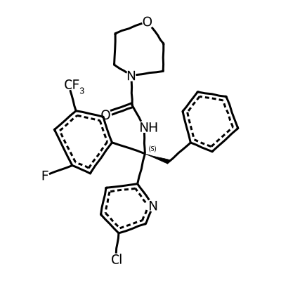 O=C(N[C@@](Cc1ccccc1)(c1cc(F)cc(C(F)(F)F)c1)c1ccc(Cl)cn1)N1CCOCC1